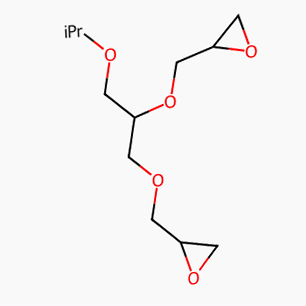 CC(C)OCC(COCC1CO1)OCC1CO1